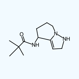 CC(C)(C)C(=O)NC1CCCN2NCC=C12